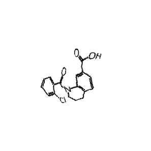 O=C(O)c1ccc2c(c1)N(C(=O)c1ccccc1Cl)CCC2